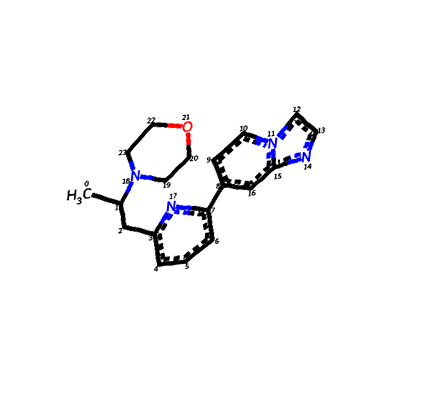 CC(Cc1cccc(-c2ccn3ccnc3c2)n1)N1CCOCC1